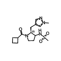 Cn1cc(C[C@H]2C(NS(C)(=O)=O)CCN2C(=O)C2CCC2)cn1